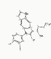 CCCCC(CCC(=O)O)c1c(C(C)C)n(-c2ccc(F)c(F)c2)c2cc3cn[nH]c3cc12